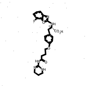 O=C(CCCOc1ccc(C[C@H](Nc2nc3cccc(F)c3o2)C(=O)O)cc1)NC1=NCCCN1